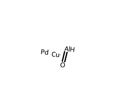 [Cu].[O]=[AlH].[Pd]